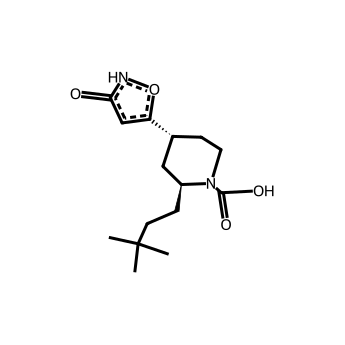 CC(C)(C)CC[C@H]1C[C@H](c2cc(=O)[nH]o2)CCN1C(=O)O